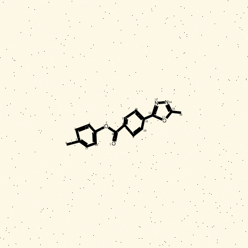 Cc1ccc(OC(=O)c2ccc(-c3nnc(C)o3)cc2)cc1